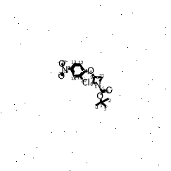 CC(C)(C)OC(=O)N1CC(Oc2ccc([N+](=O)[O-])cc2Cl)C1